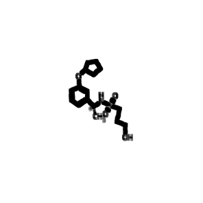 C[C@@H](NS(=O)(=O)CCCO)c1cccc(OC2CCCC2)c1